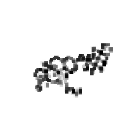 C[C@]12C[C@@H](CC(=O)O)[C@@H]3c4ccc(OS(=O)(=O)C(F)(F)C(F)(F)C(F)(F)C(F)(F)F)cc4CC[C@H]3[C@@H]1CCC2=O